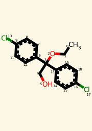 CCOC(CO)(c1ccc(Cl)cc1)c1ccc(Cl)cc1